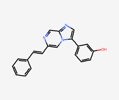 Oc1cccc(-c2cnc3cnc(C=Cc4ccccc4)cn23)c1